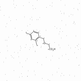 Cc1ccc(COCC(=O)O)c(C)c1